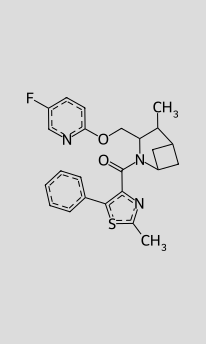 Cc1nc(C(=O)N2C3CC(C3)C(C)C2COc2ccc(F)cn2)c(-c2ccccc2)s1